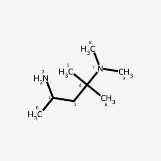 CC(N)CC(C)(C)N(C)C